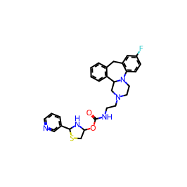 O=C(NCCN1CCN2c3ccc(F)cc3Cc3ccccc3C2C1)OC1CSC(c2cccnc2)N1